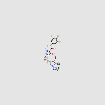 CCC1C2CCOc3c(cn(C)c3C(=O)Nc3cc(F)c(F)c(F)c3)S(=O)(=O)NC2CN1C(=O)O